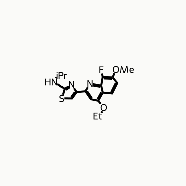 CCOc1cc(-c2csc(NC(C)C)n2)nc2c(F)c(OC)ccc12